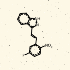 O=[N+]([O-])c1ccc(F)cc1C=Cc1n[nH]c2ccccc12